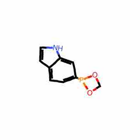 c1cc2ccc(P3OCO3)cc2[nH]1